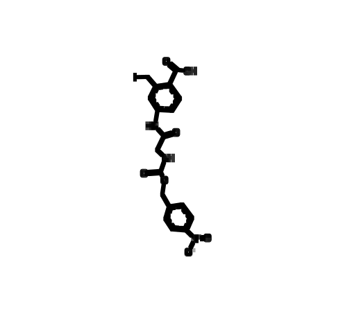 O=C(CNC(=O)OCc1ccc([N+](=O)[O-])cc1)Nc1ccc(C(=O)O)c(CI)c1